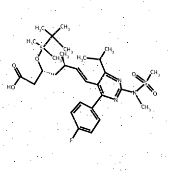 CC(C)c1nc(N(C)S(C)(=O)=O)nc(-c2ccc(F)cc2)c1/C=C/[C@H](C)C[C@H](CC(=O)O)O[Si](C)(C)C(C)(C)C